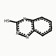 Sc1nnc2ccccc2n1